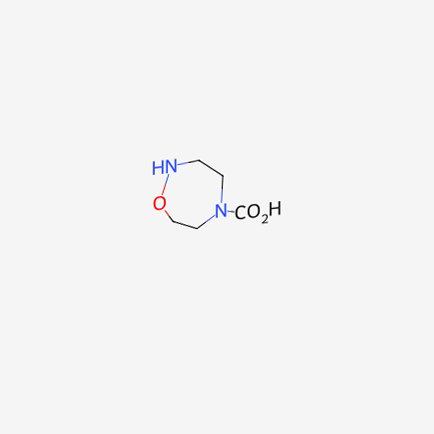 O=C(O)N1CCNOCC1